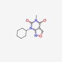 Cn1c(=O)c2conc2n(C2CCCCC2)c1=O